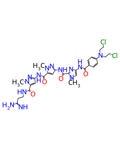 Cn1cc(NC(=O)c2ccc(N(CCCl)CCCl)cc2)nc1C(=O)Nc1cc(C(=O)Nc2cc(C(=O)NCCC(=N)N)n(C)n2)n(C)n1